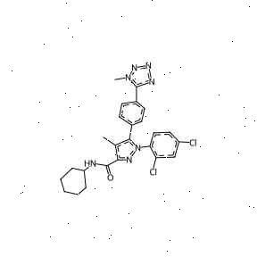 Cc1c(C(=O)NC2CCCCC2)nn(-c2ccc(Cl)cc2Cl)c1-c1ccc(-c2nnnn2C)cc1